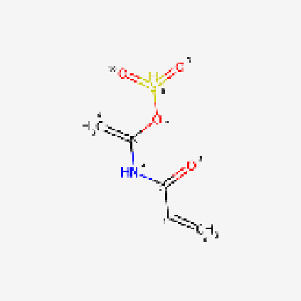 C=CC(=O)NC(=C)O[SH](=O)=O